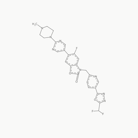 CN1CCN(c2ncc(-c3cc4oc(=O)n(Cc5ccc(-c6nnc(C(F)F)o6)cn5)c4cc3F)cn2)CC1